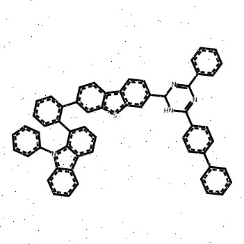 c1ccc(C2=NC(c3ccc4c(c3)sc3cc(-c5ccccc5-c5cccc6c7ccccc7n(-c7ccccc7)c56)ccc34)NC(c3ccc(-c4ccccc4)cc3)=N2)cc1